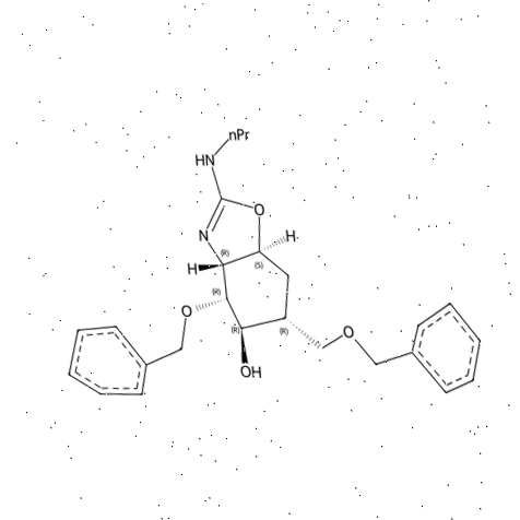 CCCNC1=N[C@H]2[C@@H](OCc3ccccc3)[C@H](O)[C@@H](COCc3ccccc3)C[C@@H]2O1